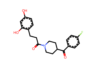 O=C(c1ccc(F)cc1)C1CCN(C(=O)CCc2ccc(O)cc2O)CC1